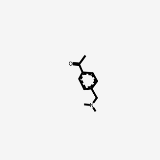 CC(=O)c1ccc(CN(C)C)cc1